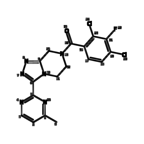 Cc1ccnc(-c2nnc3n2CCN(C(=O)c2ccc(Cl)c(F)c2Cl)C3)n1